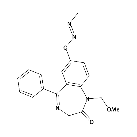 CN=NOc1ccc2c(c1)C(c1ccccc1)=NCC(=O)N2COC